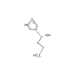 O=C(O)CCC(O)c1cc[nH]c1